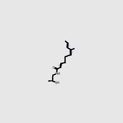 C/C=C/C(C)=C\CC/C=C/C(=O)NCC(C)S